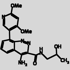 COc1cc(OC)c(-c2cccc3c(N)c(C(=O)NCC(C)O)nnc23)cn1